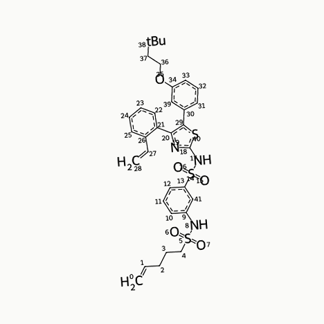 C=CCCCS(=O)(=O)Nc1cccc(S(=O)(=O)Nc2nc(-c3ccccc3C=C)c(-c3cccc(OCCC(C)(C)C)c3)s2)c1